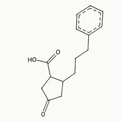 O=C1CC(CCCc2ccccc2)C(C(=O)O)C1